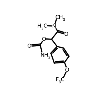 CN(C)C(=O)C(OC(N)=O)c1ccc(OC(F)(F)F)cc1